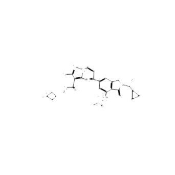 C[C@@H](C1CC1)N1Cc2cc(-c3ccn4nc(N)c(C(=O)NC[C@H]5C[C@H](O)C5)c4n3)cc(NS(C)(=O)=O)c2C1=O